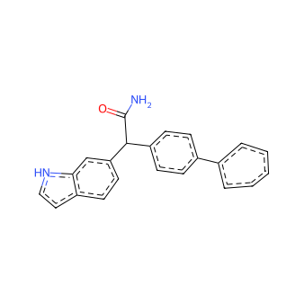 NC(=O)C(c1ccc(-c2ccccc2)cc1)c1ccc2cc[nH]c2c1